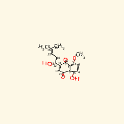 COc1ccc(O)c2c1C(=O)C([C@H](O)CC=C(C)C)=CC2=O